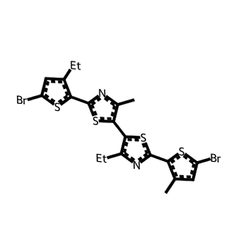 CCc1cc(Br)sc1-c1nc(C)c(-c2sc(-c3sc(Br)cc3C)nc2CC)s1